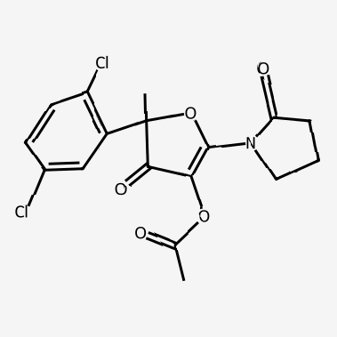 CC(=O)OC1=C(N2CCCC2=O)OC(C)(c2cc(Cl)ccc2Cl)C1=O